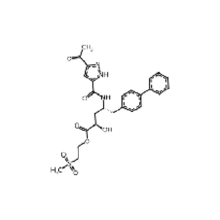 CC(=O)c1cc(C(=O)N[C@H](Cc2ccc(-c3ccccc3)cc2)C[C@@H](O)C(=O)OCCS(C)(=O)=O)[nH]n1